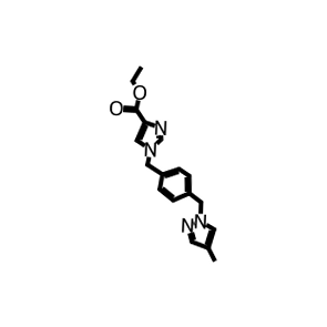 CCOC(=O)c1cn(Cc2ccc(Cn3cc(C)cn3)cc2)cn1